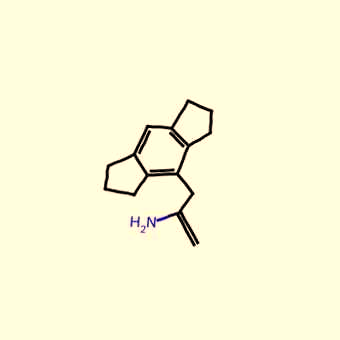 C=C(N)Cc1c2c(cc3c1CCC3)CCC2